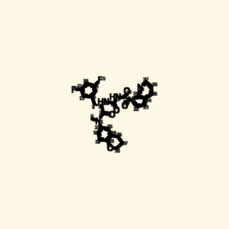 CN(C(=O)[C@H](Cc1cc(F)cc(F)c1)NC(=O)NS(=O)(=O)n1ccc2cccnc21)c1ccc2c(c1)CCCO2